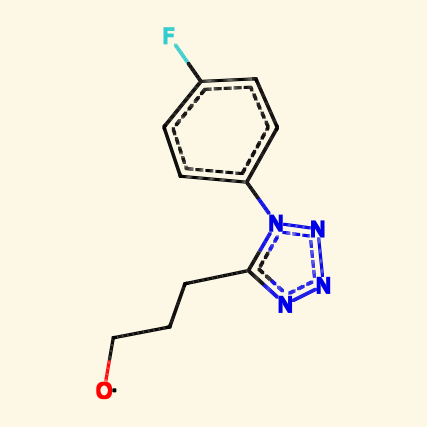 [O]CCCc1nnnn1-c1ccc(F)cc1